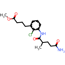 COC(=O)CCCc1cccc(NC(=O)C(C)CCC(N)=O)c1Cl